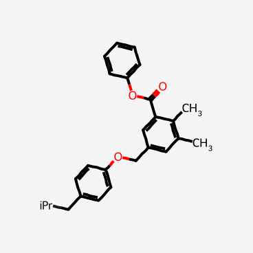 Cc1cc(COc2ccc(CC(C)C)cc2)cc(C(=O)Oc2ccccc2)c1C